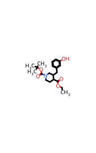 CCOC(=O)C1CCN(C(=O)OC(C)(C)C)CC1Cc1cccc(O)c1